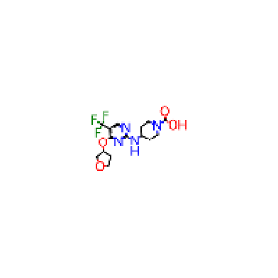 O=C(O)N1CCC(Nc2ncc(C(F)(F)F)c(O[C@H]3CCOC3)n2)CC1